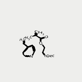 C=C(C)C(=O)OCCCCCCCCCCCC.C=Cc1ccncc1